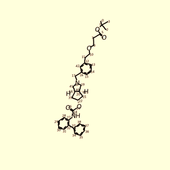 CC(C)(C)OC(=O)CCOCCc1cccc(CN2C[C@H]3C[C@H](OC(=O)Nc4ccccc4-c4ccccc4)C[C@H]3C2)c1